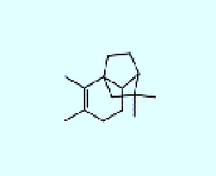 CC1=C(C)C23CCC(C2CC1)C(C)(C)C3